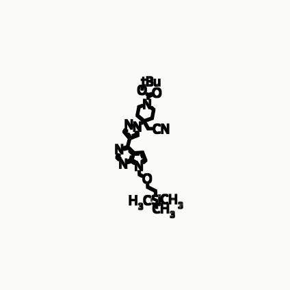 CC(C)(C)OC(=O)N1CCC(CC#N)(n2cc(-c3ncnc4c3ccn4COCC[Si](C)(C)C)cn2)CC1